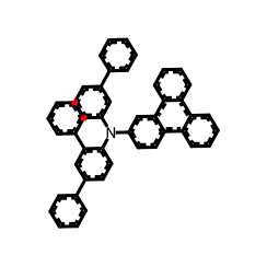 c1ccc(-c2cccc(N(c3ccc4c5ccccc5c5ccccc5c4c3)c3ccc(-c4ccccc4)cc3-c3ccccc3)c2)cc1